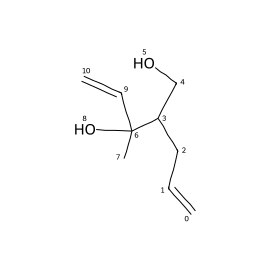 C=CCC(CO)C(C)(O)C=C